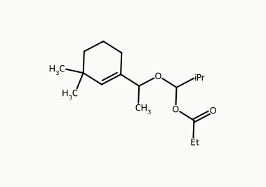 CCC(=O)OC(OC(C)C1=CC(C)(C)CCC1)C(C)C